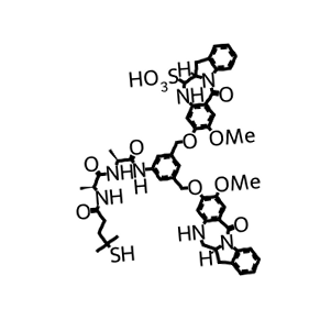 COc1cc2c(cc1OCc1cc(COc3cc4c(cc3OC)C(=O)N3c5ccccc5C[C@H]3C(S(=O)(=O)O)N4)cc(NC(=O)[C@H](C)NC(=O)[C@H](C)NC(=O)CCC(C)(C)S)c1)NC[C@@H]1Cc3ccccc3N1C2=O